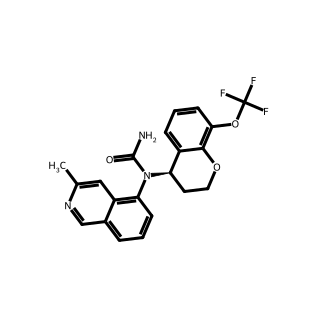 Cc1cc2c(N(C(N)=O)[C@@H]3CCOc4c(OC(F)(F)F)cccc43)cccc2cn1